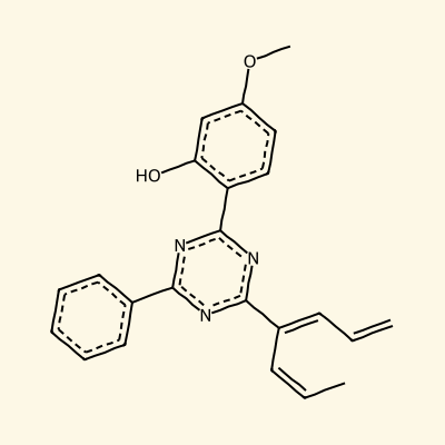 C=C/C=C(\C=C/C)c1nc(-c2ccccc2)nc(-c2ccc(OC)cc2O)n1